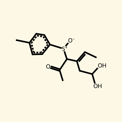 CC=C(CC(O)O)C(C(C)=O)[S+]([O-])c1ccc(C)cc1